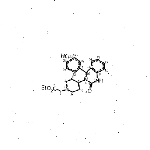 CCOC(=O)CN1CCC(N2C(=O)Nc3ccccc3C2c2ccccc2)CC1.Cl